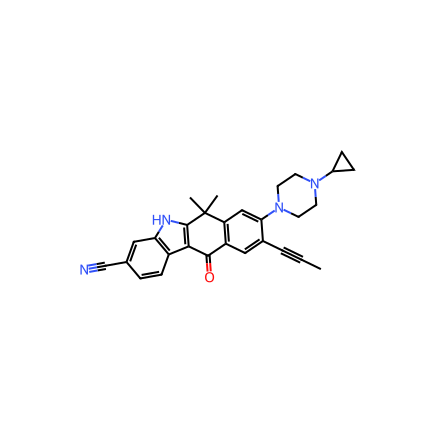 CC#Cc1cc2c(cc1N1CCN(C3CC3)CC1)C(C)(C)c1[nH]c3cc(C#N)ccc3c1C2=O